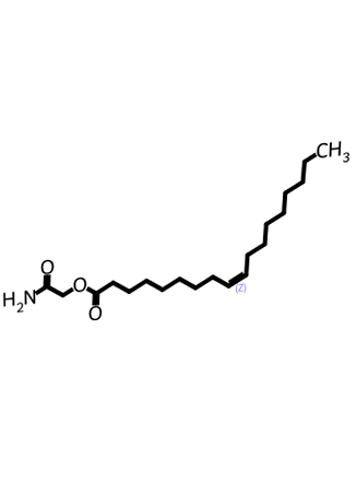 CCCCCCCC/C=C\CCCCCCCC(=O)OCC(N)=O